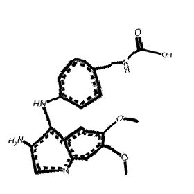 COc1cc2ncc(N)c(Nc3ccc(CNC(=O)O)cc3)c2cc1OC